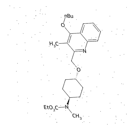 CCCCOc1c(C)c(CO[C@H]2CC[C@H](N(C)C(=O)OCC)CC2)nc2ccccc12